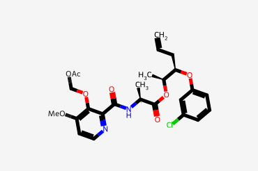 C=CC[C@@H](Oc1cccc(Cl)c1)[C@H](C)OC(=O)[C@H](C)NC(=O)c1nccc(OC)c1OCOC(C)=O